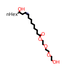 CCCCCC[C@@H](O)C/C=C\CCCCCCCC(=O)OCCOCCOCCO